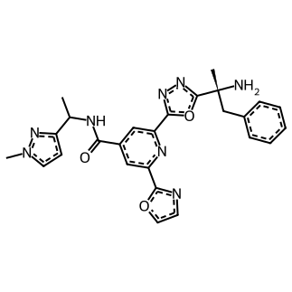 CC(NC(=O)c1cc(-c2ncco2)nc(-c2nnc([C@](C)(N)Cc3ccccc3)o2)c1)c1ccn(C)n1